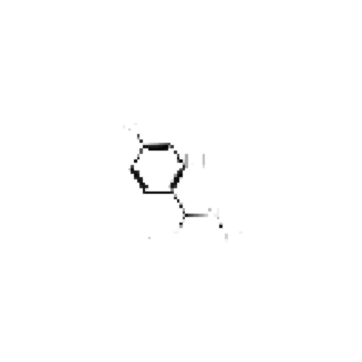 CC(C)(C)NC(C=O)c1ccc(O)cc1.Cl